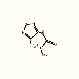 CC(C)(C)OC(=O)Nc1nsnc1C(=O)O